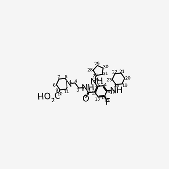 O=C(NCCN1CCCC(C(=O)O)C1)c1cc(F)c(NC2CCCCC2)cc1NC1CCCC1